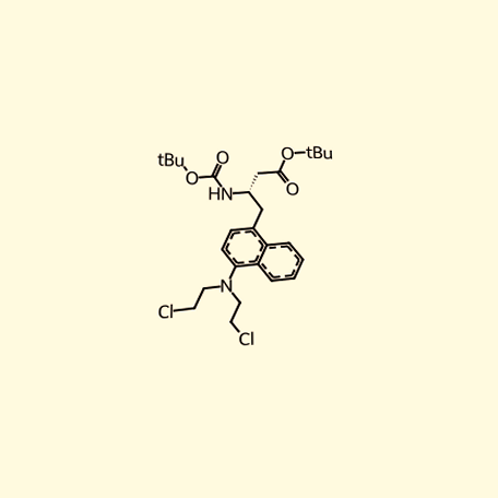 CC(C)(C)OC(=O)C[C@H](Cc1ccc(N(CCCl)CCCl)c2ccccc12)NC(=O)OC(C)(C)C